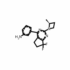 C[C@H]1CCN1c1nc(-c2cccc(N)c2)c2c(n1)C(F)(F)CC2